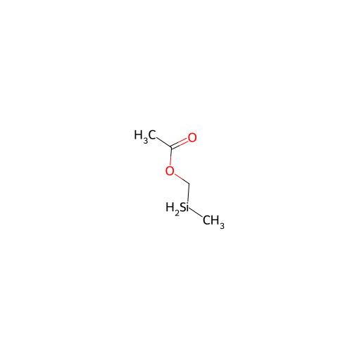 C[SiH2]COC(C)=O